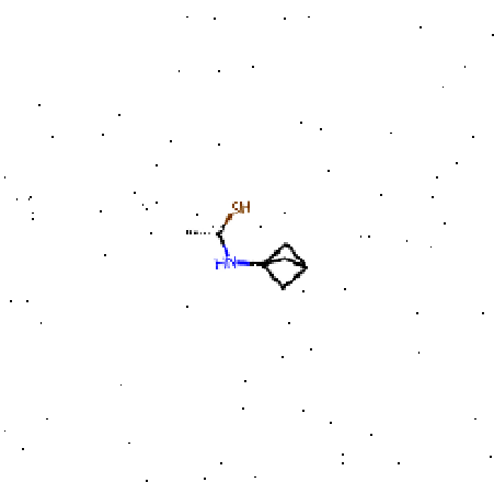 C[C@H](S)NC12CC(C1)C2